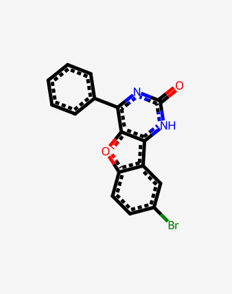 O=c1nc(-c2ccccc2)c2oc3ccc(Br)cc3c2[nH]1